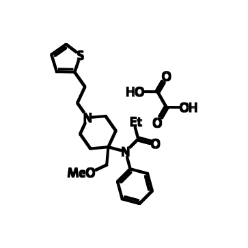 CCC(=O)N(c1ccccc1)C1(COC)CCN(CCc2cccs2)CC1.O=C(O)C(=O)O